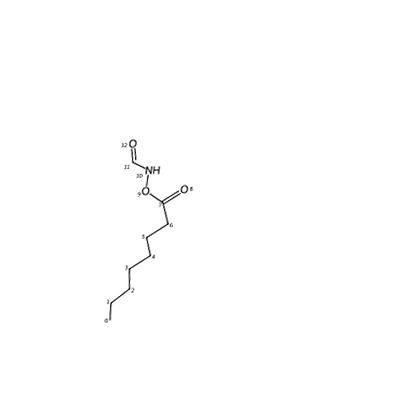 CCCCCCCC(=O)ONC=O